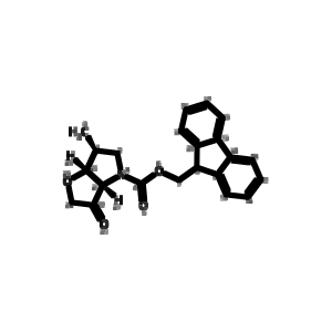 C[C@H]1CN(C(=O)OCC2c3ccccc3-c3ccccc32)[C@@H]2C(=O)CO[C@@H]21